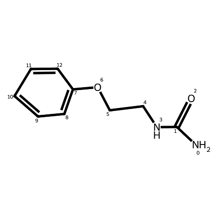 NC(=O)NCCOc1ccccc1